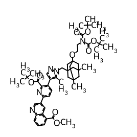 COC(=O)c1cccc2ncc(-c3ccc(-c4cnn(CC56CC7(C)CC(C)(C5)CC(OCCN(C(=O)OC(C)(C)C)C(=O)OC(C)(C)C)(C7)C6)c4C)c(C(=O)OC(C)(C)C)n3)cc12